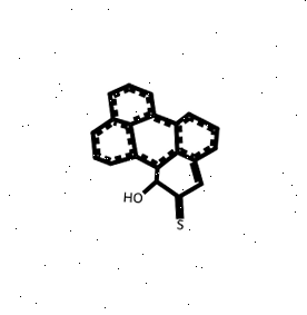 OC1C(=S)C=c2cccc3c2c1c1cccc2cccc3c21